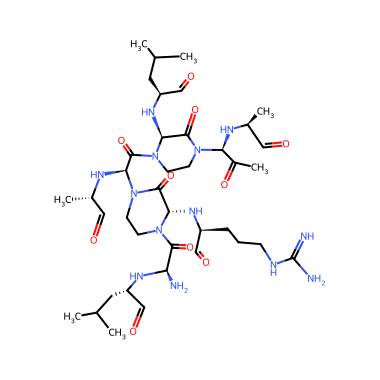 CC(=O)[C@H](N[C@@H](C)C=O)N1CCN(C(=O)[C@H](N[C@@H](C)C=O)N2CCN(C(=O)[C@@H](N)N[C@H](C=O)CC(C)C)[C@@H](N[C@H](C=O)CCCNC(=N)N)C2=O)[C@@H](N[C@H](C=O)CC(C)C)C1=O